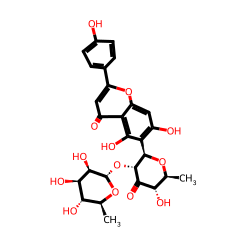 C[C@@H]1O[C@@H](O[C@H]2C(=O)[C@@H](O)[C@H](C)O[C@@H]2c2c(O)cc3oc(-c4ccc(O)cc4)cc(=O)c3c2O)[C@H](O)[C@H](O)[C@H]1O